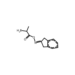 BC(C)C(=O)ON=C1Cc2ccccc2C1